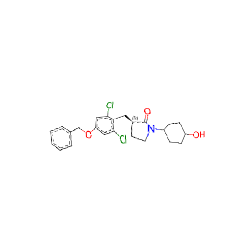 O=C1[C@H](Cc2c(Cl)cc(OCc3ccccc3)cc2Cl)CCN1C1CCC(O)CC1